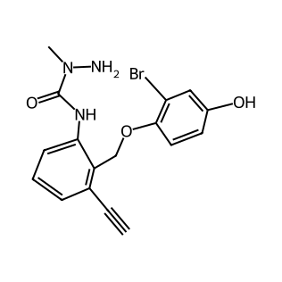 C#Cc1cccc(NC(=O)N(C)N)c1COc1ccc(O)cc1Br